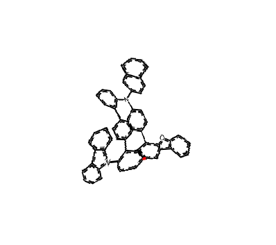 c1ccc(N(c2ccc(-c3cccc4c3oc3ccccc34)cc2)c2ccc3ccccc3c2)c(-c2ccc(-c3ccccc3-n3c4ccccc4c4ccccc43)cc2)c1